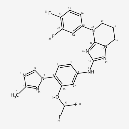 Cc1ncn(-c2ccc(Nc3nc4n(n3)CCCN4c3ccc(F)c(F)c3)cc2OC(F)F)n1